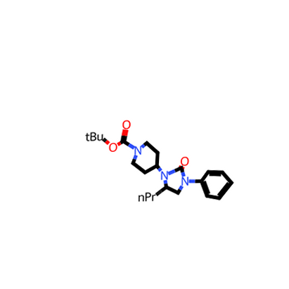 CCCC1CN(c2ccccc2)C(=O)N1C1CCN(C(=O)OC(C)(C)C)CC1